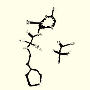 CC(C)(NCCC1CCOCC1)C(=O)Nc1ncc(Br)nc1Br.O=C(O)C(F)(F)F